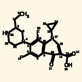 CCC1CN(c2c(F)cc3c(=O)c(C(=O)O)cn(C4CC4)c3c2F)CCN1